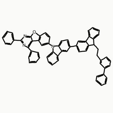 c1ccc(-c2cccc(CCC3c4ccccc4-c4cc(-c5ccc6c(c5)c5ccccc5n6-c5ccc6oc7nc(-c8ccccc8)nc(-c8ccccc8)c7c6c5)ccc43)c2)cc1